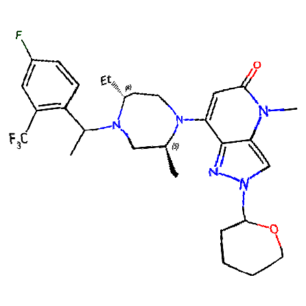 CC[C@@H]1CN(c2cc(=O)n(C)c3cn(C4CCCCO4)nc23)[C@@H](C)CN1C(C)c1ccc(F)cc1C(F)(F)F